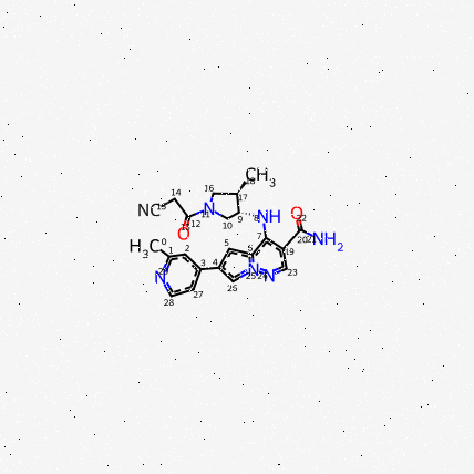 Cc1cc(-c2cc3c(N[C@@H]4CN(C(=O)CC#N)C[C@H]4C)c(C(N)=O)cnn3c2)ccn1